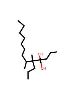 CCCCCCCC(C)C(C)(CCC)C(O)(O)CCC